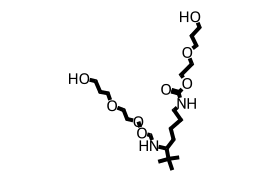 CC(C)(C)C(CCCCNC(=O)OCCOCCCO)NCOOCCOCCCO